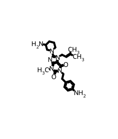 CC(C)=CCn1c(N2CCCC(N)C2)nc2c1c(=O)n(CCc1ccc(N)cc1)c(=O)n2C